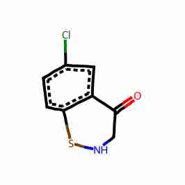 O=C1CNSc2ccc(Cl)cc21